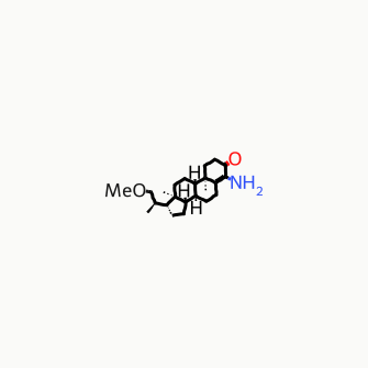 COC[C@H](C)[C@H]1CC[C@H]2[C@@H]3CCC4=C(N)C(=O)CC[C@]4(C)[C@H]3CC[C@]12C